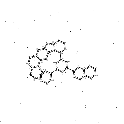 c1ccc(-c2nc(-c3ccc4ccccc4c3)nc(-c3cccc4oc5cc6ccc7ccccc7c6cc5c34)n2)cc1